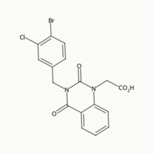 O=C(O)Cn1c(=O)n(Cc2ccc(Br)c(Cl)c2)c(=O)c2ccccc21